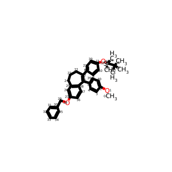 COc1ccc(C2=C(c3ccc(O[Si](C)(C)C(C)(C)C)cc3)CCCc3cc(OCc4ccccc4)ccc32)cc1